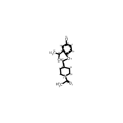 CC(=O)N1CCC(COc2ccc(Cl)cc2C(C)C)CC1